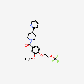 COc1cc(C(=O)N2CCC(c3ccccn3)CC2)ccc1OCCOC(F)(F)F